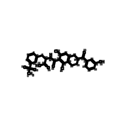 CS(=O)(=O)c1cccc(CC(NC(=O)c2c(Cl)cc3c(c2Cl)CCN(C(=O)c2cccc(O)c2)C3)C(=O)O)c1